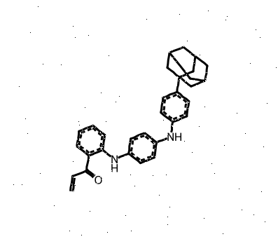 C=CC(=O)c1ccccc1Nc1ccc(Nc2ccc(C34CC5CC(CC(C5)C3)C4)cc2)cc1